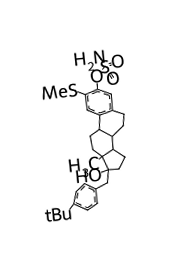 CSc1cc2c(cc1OS(N)(=O)=O)CCC1C2CCC2(C)C1CCC2(O)Cc1ccc(C(C)(C)C)cc1